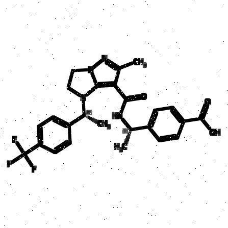 Cc1nn2c(c1C(=O)N[C@@H](C)c1ccc(C(=O)O)cc1)N([C@H](C)c1ccc(C(F)(F)F)cc1)CC2